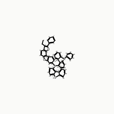 CCc1c(-c2ccccc2)oc2c1ccc1oc3cc(N(c4cccc5sc6ccccc6c45)c4cccc5c4c4ccccc4n5-c4ccccc4)ccc3c12